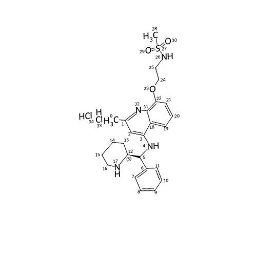 Cc1cc(NC(c2ccccc2)[C@@H]2CCCCN2)c2cccc(OCCNS(C)(=O)=O)c2n1.Cl.Cl